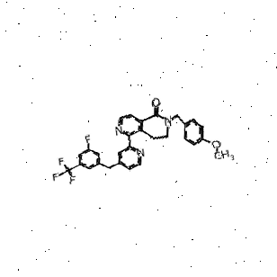 COc1ccc(CN2CCc3c(ccnc3-c3cc(Cc4cc(F)cc(C(F)(F)F)c4)ccn3)C2=O)cc1